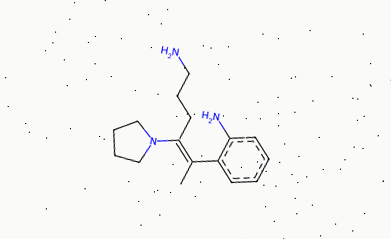 C/C(=C(/CCCN)N1CCCC1)c1ccccc1N